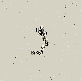 O=C1CCC(N2C(=O)c3ccc(N4CCN(CC(F)(F)CCCO[C@H]5C[C@H](Oc6ccc(Br)cn6)C5)CC4)cc3C2=O)C(=O)N1